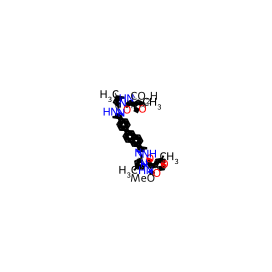 COC(=O)N[C@H](C(=O)N1C[C@@H](C)C[C@H]1c1nc(-c2ccc3cc(-c4ccc(-c5c[nH]c([C@@H]6C[C@H](C)CN6C(=O)[C@@H](NC(=O)O)[C@@H]6CCO[C@@H](C)C6)n5)cc4)ccc3c2)c[nH]1)[C@H]1CCO[C@H](C)C1